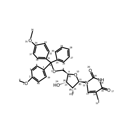 COc1ccc(C(OC[C@H]2O[C@@H](n3cc(I)c(=O)[nH]c3=O)[C@H](F)[C@@H]2O)(c2ccccc2)c2ccc(OC)cc2)cc1